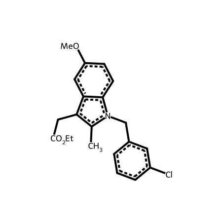 CCOC(=O)Cc1c(C)n(Cc2cccc(Cl)c2)c2ccc(OC)cc12